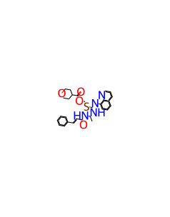 CC(NC(=O)/C=C/c1ccccc1)N/C(=N\c1cccc2cccnc12)SCOC(=O)C1CCOCC1